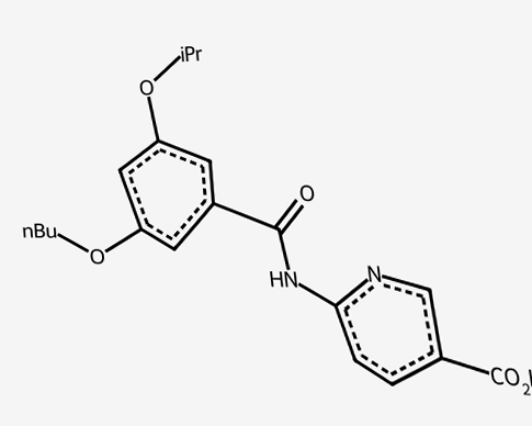 CCCCOc1cc(OC(C)C)cc(C(=O)Nc2ccc(C(=O)O)cn2)c1